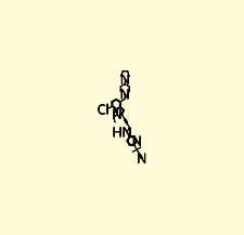 CCn1c(C#CCNc2ccc(C(C)(C)C#N)nc2)cc2c(CN3CCC(N4CCCC4)CC3)ccc(Cl)c21